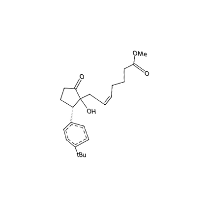 COC(=O)CCC/C=C\CC1(O)C(=O)CC[C@H]1c1ccc(C(C)(C)C)cc1